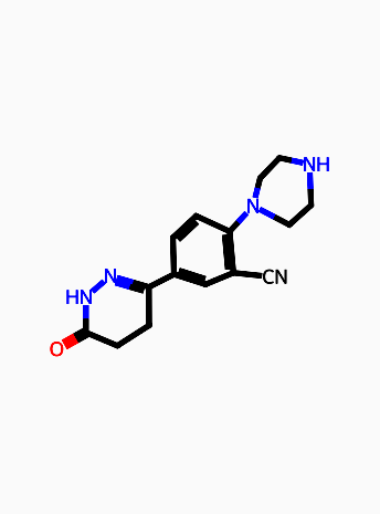 N#Cc1cc(C2=NNC(=O)CC2)ccc1N1CCNCC1